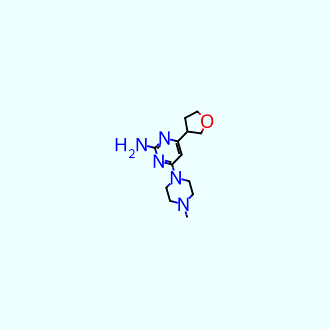 CN1CCN(c2cc(C3CCOC3)nc(N)n2)CC1